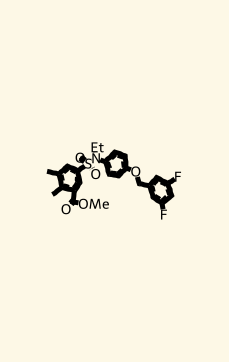 CCN(c1ccc(OCc2cc(F)cc(F)c2)cc1)S(=O)(=O)c1cc(C)c(C)c(C(=O)OC)c1